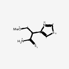 COCC(C(N)=S)c1cscn1